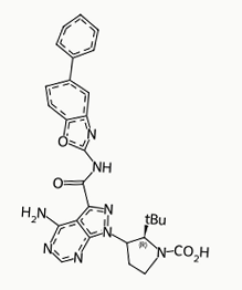 CC(C)(C)[C@@H]1C(n2nc(C(=O)Nc3nc4cc(-c5ccccc5)ccc4o3)c3c(N)ncnc32)CCN1C(=O)O